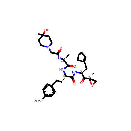 COc1ccc(CC[C@H](NC(=O)[C@H](C)NC(=O)CN2CCC(C)(O)CC2)C(=O)N[C@@H](CC2=CCCC2)C(=O)[C@@]2(C)CO2)cc1